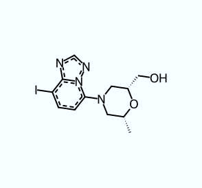 C[C@@H]1CN(c2ccc(I)c3ncnn23)C[C@H](CO)O1